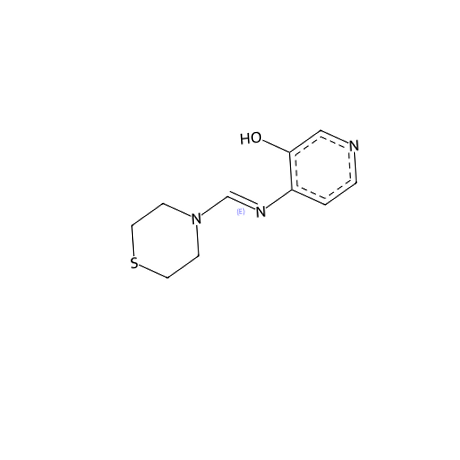 Oc1cnccc1/N=C/N1CCSCC1